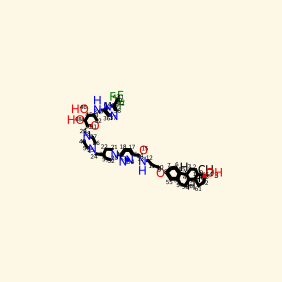 C[C@]12CC[C@@H]3c4ccc(OCCCNC(=O)c5ccc(N6CCC(CN7CCN(C[C@H]8OC[C@H](Nc9cncc(C(F)(F)F)n9)[C@@H](O)[C@H]8O)CC7)CC6)nn5)cc4CC[C@H]3[C@@H]1CC[C@@H]2O